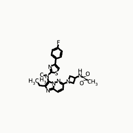 CCc1nc2ccc(N3CC(NS(C)(=O)=O)C3)nn2c1N(C)c1nc(-c2ccc(F)cc2)cs1